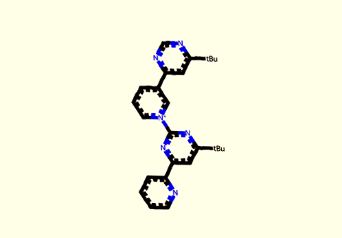 CC(C)(C)c1cc(-c2ccc[n+](-c3nc(-c4ccccn4)cc(C(C)(C)C)n3)c2)ncn1